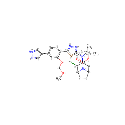 COCOc1cc(-c2cn[nH]c2)ccc1-c1nnc(N(C)[C@H]2CC3CCC([C@H]2F)N3C(=O)OC(C)(C)C)s1